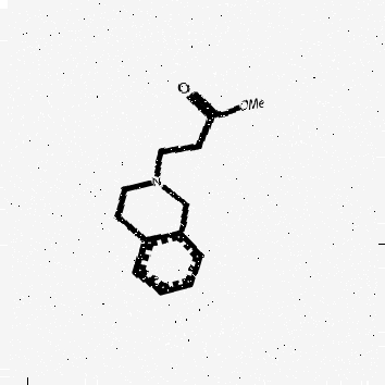 COC(=O)CCN1CCc2ccccc2C1